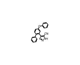 N#Cc1[nH]nnc1-c1cc(Oc2ccccc2)ccc1-c1ccccc1